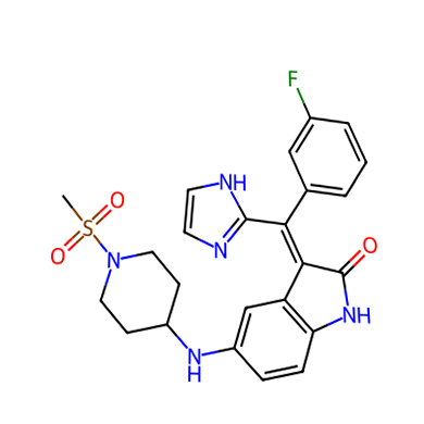 CS(=O)(=O)N1CCC(Nc2ccc3c(c2)C(=C(c2cccc(F)c2)c2ncc[nH]2)C(=O)N3)CC1